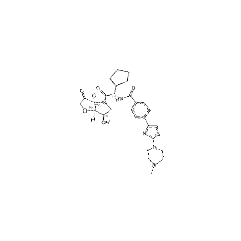 CN1CCN(c2nc(-c3ccc(C(=O)N[C@H](C(=O)N4C[C@@H](O)[C@H]5OCC(=O)[C@H]54)C4CCCC4)cc3)cs2)CC1